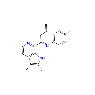 C=CCC(=Nc1ccc(F)cc1)c1nccc2c(C)c(C)[nH]c12